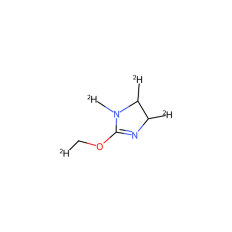 [2H]COC1=NC([2H])C([2H])N1[2H]